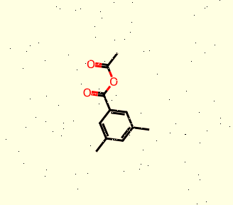 CC(=O)OC(=O)c1cc(C)cc(C)c1